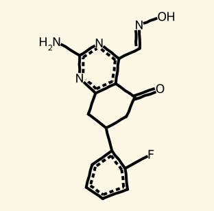 Nc1nc(C=NO)c2c(n1)CC(c1ccccc1F)CC2=O